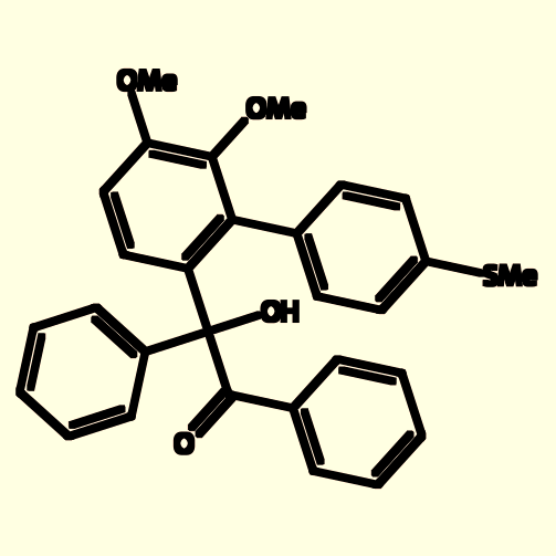 COc1ccc(C(O)(C(=O)c2ccccc2)c2ccccc2)c(-c2ccc(SC)cc2)c1OC